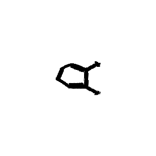 [B]c1ccccc1Br